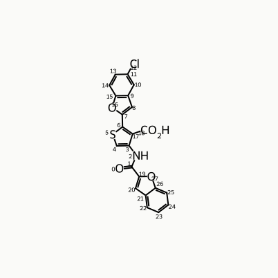 O=C(Nc1csc(-c2cc3cc(Cl)ccc3o2)c1C(=O)O)c1cc2ccccc2o1